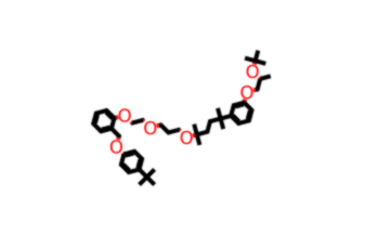 CC(COc1cccc(C(C)(C)CCC(C)(C)OCCCOCCOc2ccccc2COc2ccc(C(C)(C)C)cc2)c1)OC(C)(C)C